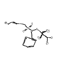 CCC/C=C/CS(=O)(=O)N(SC(Cl)(Cl)C(Cl)Cl)c1ccccc1